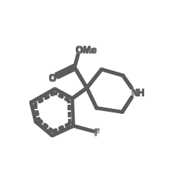 COC(=O)C1(c2ccccc2F)CCNCC1